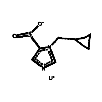 O=S([O-])c1cncn1CC1CC1.[Li+]